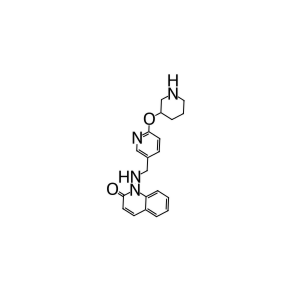 O=c1ccc2ccccc2n1NCc1ccc(OC2CCCNC2)nc1